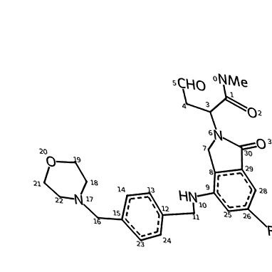 CNC(=O)C(CC=O)N1Cc2c(NCc3ccc(CN4CCOCC4)cc3)cc(F)cc2C1=O